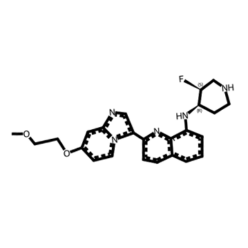 COCCOc1ccn2c(-c3ccc4cccc(N[C@@H]5CCNC[C@@H]5F)c4n3)cnc2c1